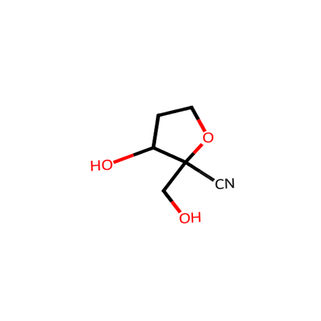 N#CC1(CO)OCCC1O